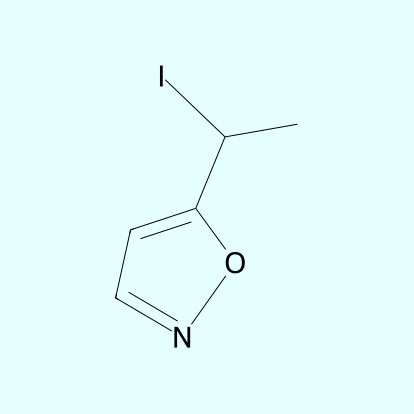 CC(I)c1ccno1